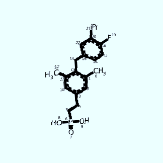 Cc1cc(CCP(=O)(O)O)cc(C)c1Cc1ccc(F)c(C(C)C)c1